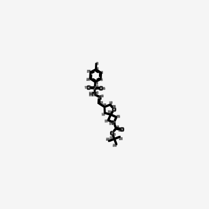 Cc1ccc(S(=O)(=O)NN=CC2COC3(C2)CN(C(=O)OC(C)(C)C)C3)cc1